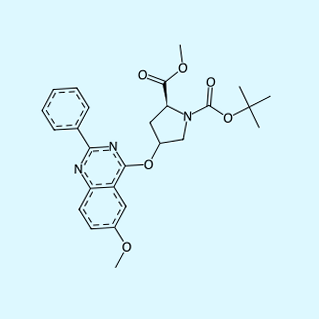 COC(=O)[C@@H]1CC(Oc2nc(-c3ccccc3)nc3ccc(OC)cc23)CN1C(=O)OC(C)(C)C